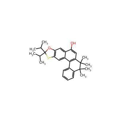 CC(C)C1(C(C)C)Oc2cc3c(O)cc4c(c3cc2S1)-c1ccccc1C(C)(C)C4(C)C